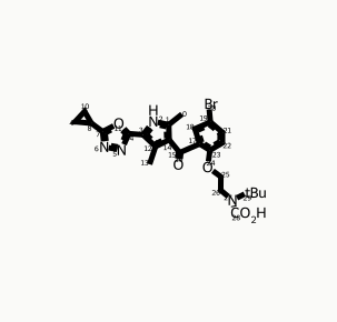 Cc1[nH]c(-c2nnc(C3CC3)o2)c(C)c1C(=O)c1cc(Br)ccc1OCCN(C(=O)O)C(C)(C)C